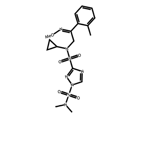 CO/N=C(\CN(C1CC1)S(=O)(=O)c1ncn(S(=O)(=O)N(C)C)n1)c1ccccc1C